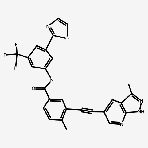 Cc1ccc(C(=O)Nc2cc(-c3ncco3)cc(C(F)(F)F)c2)cc1C#Cc1cnc2[nH]nc(C)c2c1